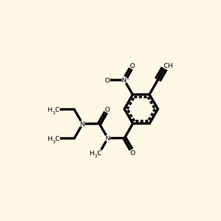 C#Cc1ccc(C(=O)N(C)C(=O)N(CC)CC)cc1[N+](=O)[O-]